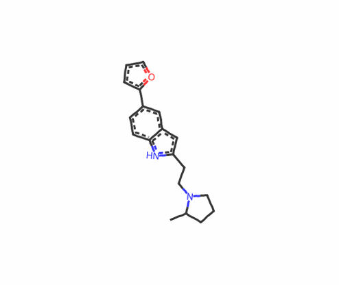 CC1CCCN1CCc1cc2cc(-c3ccco3)ccc2[nH]1